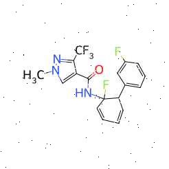 Cn1cc(C(=O)NC2(F)C=CC=CC2c2cccc(F)c2)c(C(F)(F)F)n1